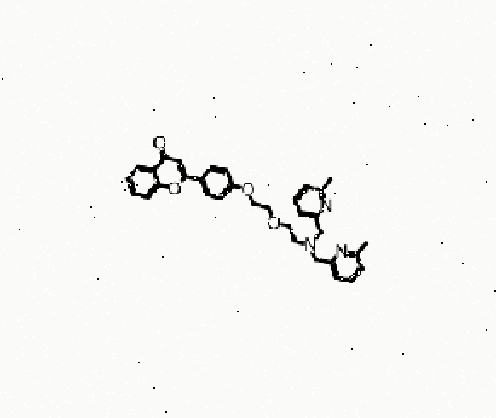 Cc1cccc(CN(CCOCCOc2ccc(-c3cc(=O)c4ccccc4o3)cc2)Cc2cccc(C)n2)n1